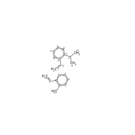 C=Cc1ccccc1C.C=Cc1ccccc1C(C)C